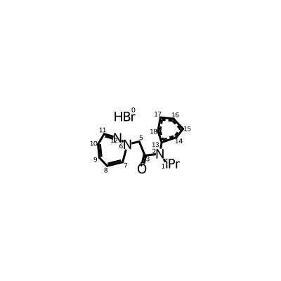 Br.CC(C)N(C(=O)CN1C=CC=CC=N1)c1ccccc1